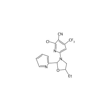 CCC1CN(c2cc(C(F)(F)F)c(C#N)c(Cl)n2)C(c2ccccn2)O1